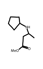 COC(=O)CC(C)NC1CCCC1